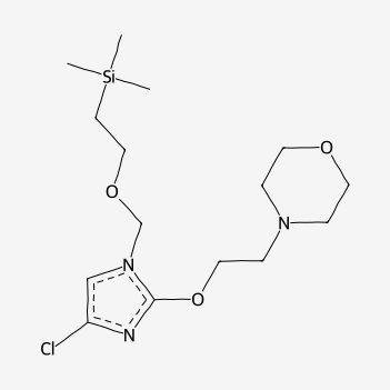 C[Si](C)(C)CCOCn1cc(Cl)nc1OCCN1CCOCC1